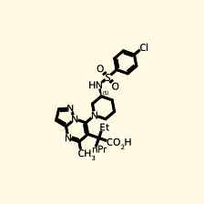 CCCC(CC)(C(=O)O)c1c(C)nc2ccnn2c1N1CCC[C@H](NS(=O)(=O)c2ccc(Cl)cc2)C1